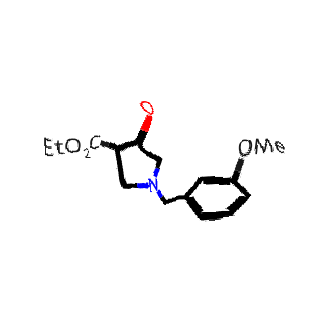 CCOC(=O)C1CN(Cc2cccc(OC)c2)CC1=O